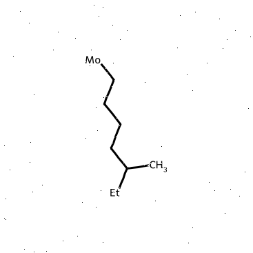 CCC(C)CCC[CH2][Mo]